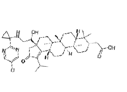 CC(C)C1=C2[C@H]3CC[C@@H]4[C@]5(C)CC[C@@H](CC(=O)O)C(C)(C)[C@H]5CC[C@@]4(C)[C@]3(C)CC[C@@]2(C(O)CNC2(c3ncc(Cl)cn3)CC2)CC1=O